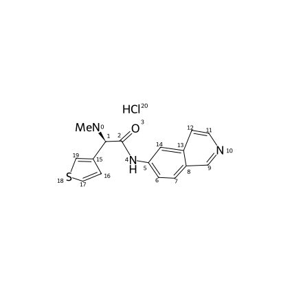 CN[C@@H](C(=O)Nc1ccc2cnccc2c1)c1ccsc1.Cl